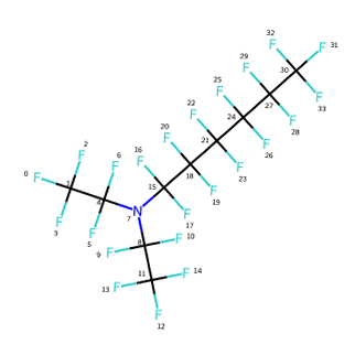 FC(F)(F)C(F)(F)N(C(F)(F)C(F)(F)F)C(F)(F)C(F)(F)C(F)(F)C(F)(F)C(F)(F)C(F)(F)F